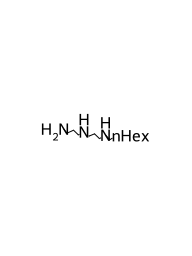 [CH2]CCCCCCNCCCNCCCN